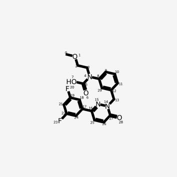 COCCN(C(=O)O)c1cccc(Cn2nc(-c3cc(F)cc(F)c3)ccc2=O)c1